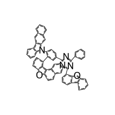 c1ccc(-c2nc(-c3ccc(-n4c5ccccc5c5cc6ccccc6cc54)c(-c4cccc5oc6ccc7ccccc7c6c45)c3)nc(-c3cccc4c3oc3ccccc34)n2)cc1